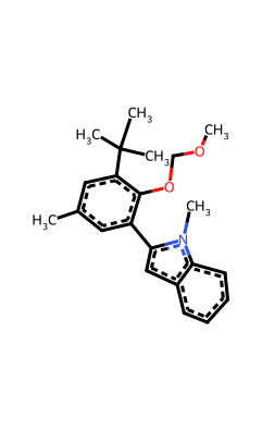 COCOc1c(-c2cc3ccccc3n2C)cc(C)cc1C(C)(C)C